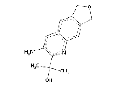 CC(C)(O)c1nc2cc3c(cc2cc1N)COC3